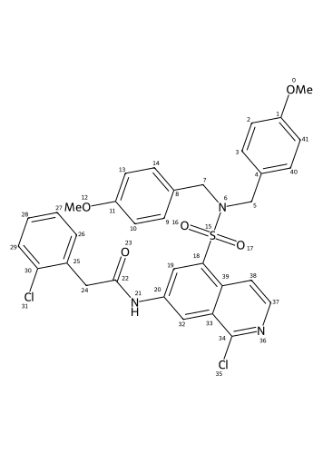 COc1ccc(CN(Cc2ccc(OC)cc2)S(=O)(=O)c2cc(NC(=O)Cc3ccccc3Cl)cc3c(Cl)nccc23)cc1